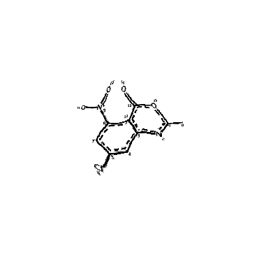 Cc1nc2cc(Cl)cc([N+](=O)[O-])c2c(=O)o1